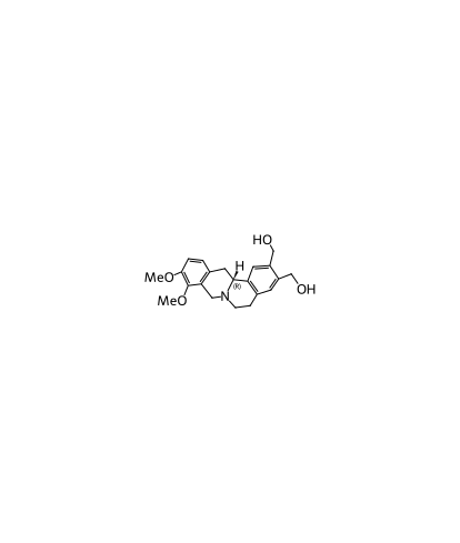 COc1ccc2c(c1OC)CN1CCc3cc(CO)c(CO)cc3[C@H]1C2